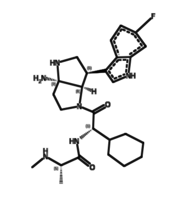 CN[C@@H](C)C(=O)N[C@H](C(=O)N1CC[C@@]2(N)NC[C@@H](c3c[nH]c4cc(F)ccc34)[C@@H]12)C1CCCCC1